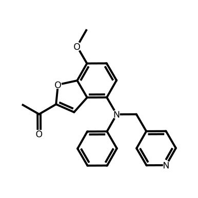 COc1ccc(N(Cc2ccncc2)c2ccccc2)c2cc(C(C)=O)oc12